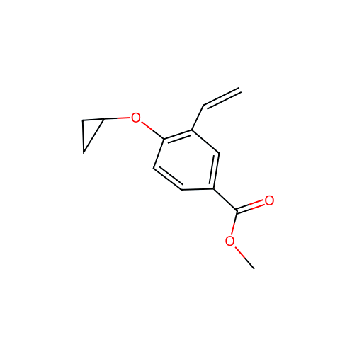 C=Cc1cc(C(=O)OC)ccc1OC1CC1